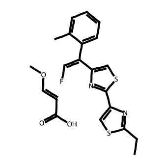 CCc1nc(-c2nc(C(=CF)c3ccccc3C)cs2)cs1.COC=CC(=O)O